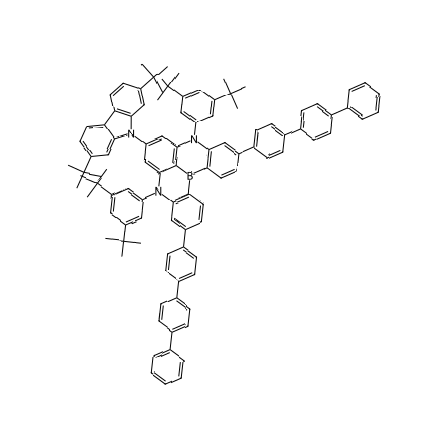 CC(C)(C)c1cc(N2c3cc(-c4ccc(-c5ccc(-c6ccccc6)cc5)cc4)ccc3B3c4ccc(-c5ccc(-c6ccc(-c7ccccc7)cc6)cc5)cc4N(c4cc(C(C)(C)C)cc(C(C)(C)C)c4)c4cc(-n5c6cc(C(C)(C)C)ccc6c6ccc(C(C)(C)C)cc65)cc2c43)cc(C(C)(C)C)c1